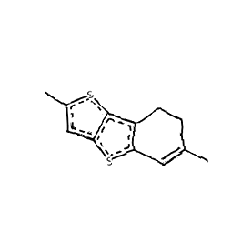 CC1=Cc2sc3cc(C)sc3c2CC1